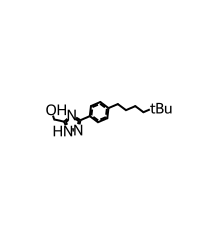 CC(C)(C)CCCCc1ccc(-c2n[nH]c(CO)n2)cc1